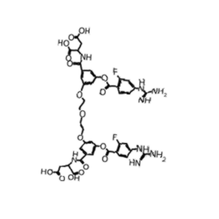 N=C(N)Nc1ccc(C(=O)Oc2cc(OCCOCCOc3cc(OC(=O)c4ccc(NC(=N)N)cc4F)cc(C(=O)NC(CC(=O)O)C(=O)O)c3)cc(C(=O)NC(CC(=O)O)C(=O)O)c2)c(F)c1